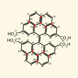 O=C(O)c1ccc(-c2ccccc2)c(C(=C(c2cc(C(=O)O)ccc2-c2ccccc2)c2cc(C(=O)O)ccc2-c2ccccc2)c2cc(C(=O)O)ccc2-c2ccccc2)c1